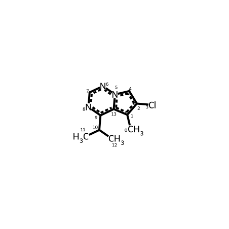 Cc1c(Cl)cn2ncnc(C(C)C)c12